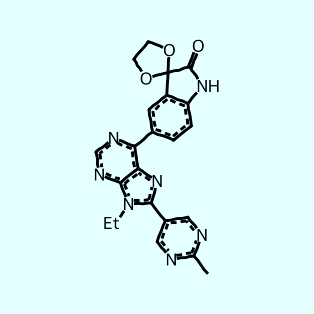 CCn1c(-c2cnc(C)nc2)nc2c(-c3ccc4c(c3)C3(OCCO3)C(=O)N4)ncnc21